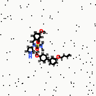 C=CCCOc1cccc(C2CCC(OC[C@@H]3NCC[C@@H]3N(Cc3ccc(OC)cc3)S(=O)(=O)N(C)C)CC2)c1